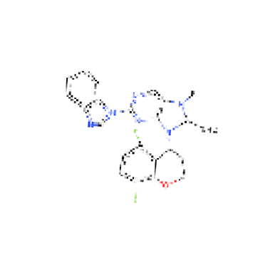 CCN1c2cnc(-n3cnc4ccccc43)nc2N([C@@H]2CCOc3c(F)ccc(F)c32)C1C=O